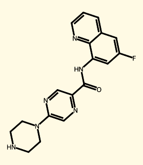 O=C(Nc1cc(F)cc2cccnc12)c1cnc(N2CCNCC2)cn1